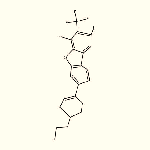 CCCC1CC=C(c2ccc3c(c2)oc2c(F)c(C(F)(F)F)c(F)cc23)CC1